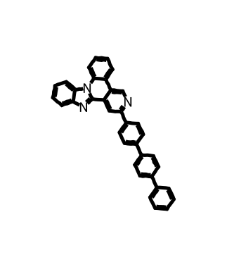 c1ccc(-c2ccc(-c3ccc(-c4cc5c(cn4)c4ccccc4n4c6ccccc6nc54)cc3)cc2)cc1